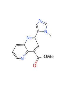 COC(=O)c1cc(-c2cncn2C)nc2cccnc12